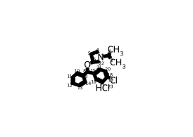 CC(C)N1CCC(OC(c2ccccc2)c2ccc(Cl)cc2)C1.Cl